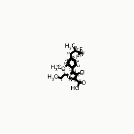 CCCn1nc(C(=O)O)c(Cl)c1-c1ccc(CC(C)C(F)(F)F)cc1OC